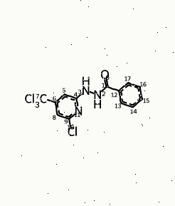 O=C(NNc1cc(C(Cl)(Cl)Cl)cc(Cl)n1)c1ccccc1